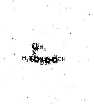 CCN(CC)CCOc1cc(NC(=O)c2ccc(-c3ccc(O)cc3)cc2)ccc1OC